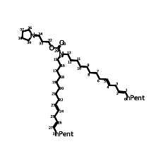 CCCCCC=CCC=CCCCCCCCCN(CCCCCCCCC=CCC=CCCCCC)C(=O)OCCCN1CCCC1